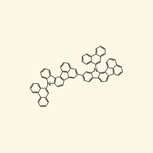 c1cc2c3c(cc(-c4ccc5c6ccc7c(c6n(-c6cc8ccccc8c8ccccc68)c5c4)-c4cccc5cccc-7c45)cc3c1)-c1ccc3c(c1-2)c1ccccc1n3-c1cc2ccccc2c2ccccc12